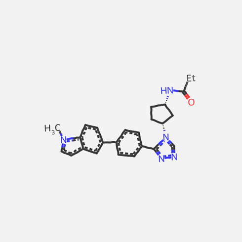 CCC(=O)N[C@H]1CC[C@@H](n2cnnc2-c2ccc(-c3ccc4c(ccn4C)c3)cc2)C1